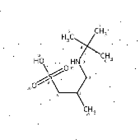 CC(CNC(C)(C)C)CS(=O)(=O)O